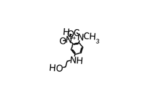 CN(C)c1ccc(NCCO)cc1[N+](=O)[O-]